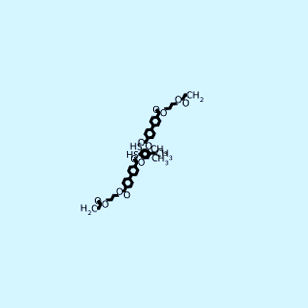 C=CC(=O)OCCCCOC(=O)C1CCC(C2CCC(C(=O)Oc3cc(C(C)(C)C)c(OC(=O)C4CCC(C5CCC(C(=O)OCCCCOC(=O)C=C)CC5)CC4)c(S)c3S)CC2)CC1